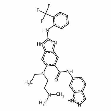 CCN(CCN(C)C)c1cc2[nH]c(Nc3ccccc3C(F)(F)F)nc2cc1C(=O)Nc1ccc2cn[nH]c2c1